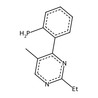 CCc1ncc(C)c(-c2ccccc2P)n1